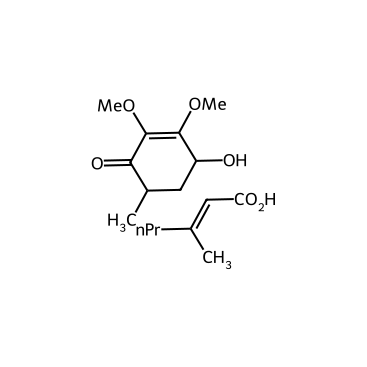 CCCC(C)=CC(=O)O.COC1=C(OC)C(O)CC(C)C1=O